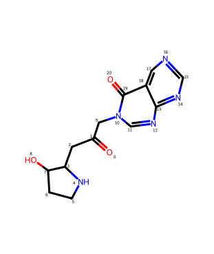 O=C(CC1NCCC1O)Cn1cnc2ncncc2c1=O